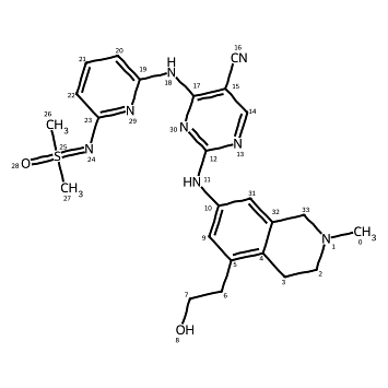 CN1CCc2c(CCO)cc(Nc3ncc(C#N)c(Nc4cccc(N=S(C)(C)=O)n4)n3)cc2C1